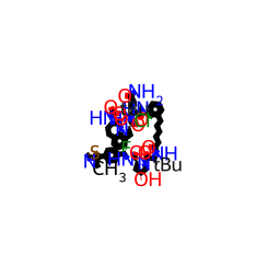 Cc1ncsc1-c1ccc([C@H](F)NC(=O)[C@@H]2C[C@@H](O)CN2C(=O)[C@@H](NC(=O)CCCCCc2cccc(NC(=O)[C@H](CCC(N)=O)NC(=O)[C@@H]3Cc4cccc5c4N3C(=O)[C@@H](NC(=O)OC(C)(C)C)CC5)c2Cl)C(C)(C)C)cc1